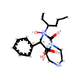 CCCC(CC)[N+]([O-])(C(=O)N1CCNCC1)C(C(=O)O)c1ccccc1